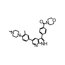 Cc1cc(-c2cnc3[nH]cc(-c4ccc(C(=O)N5CCOCC5)cc4)c3c2)ccc1N1CCN(C)CC1